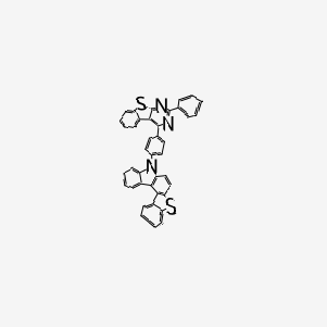 c1ccc(-c2nc(-c3ccc(-n4c5ccccc5c5c6c(ccc54)sc4ccccc46)cc3)c3c(n2)sc2ccccc23)cc1